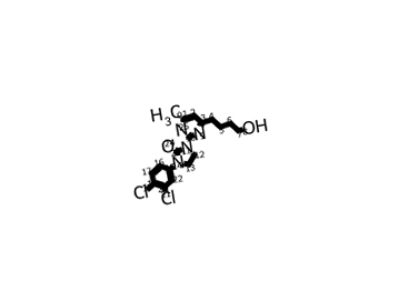 Cc1cc(CCCCO)nc(N2CCN(c3ccc(Cl)c(Cl)c3)C2=O)n1